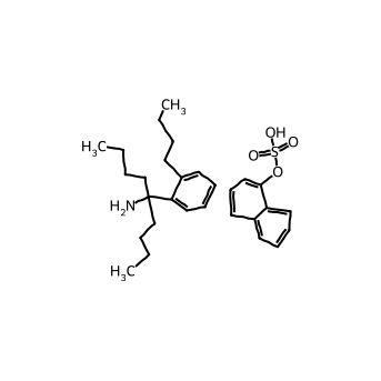 CCCCc1ccccc1C(N)(CCCC)CCCC.O=S(=O)(O)Oc1cccc2ccccc12